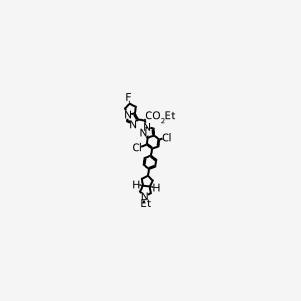 CCOC(=O)C(c1ncn2c1C[C@@H](F)C2)n1cc2c(Cl)cc(-c3ccc(C4C[C@@H]5CN(CC)C[C@@H]5C4)cc3)c(Cl)c2n1